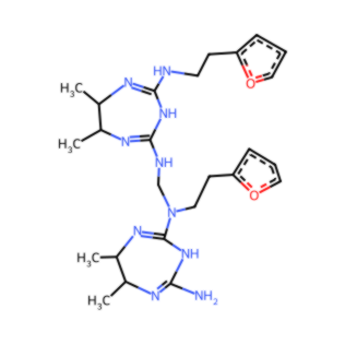 CC1N=C(N)NC(N(CCc2ccco2)CNC2=NC(C)C(C)N=C(NCCc3ccco3)N2)=NC1C